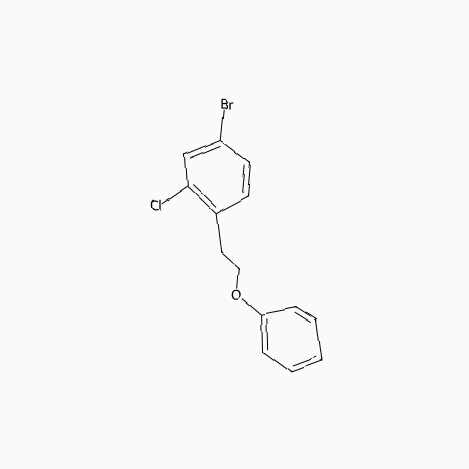 Clc1cc(Br)ccc1CCOc1ccccc1